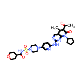 CC(=O)c1c(C)c2cnc(Nc3ccc(N4CCN(S(=O)(=O)NC(=O)C5CCOCC5)CC4)cn3)nc2n(C2CCCC2)c1=O